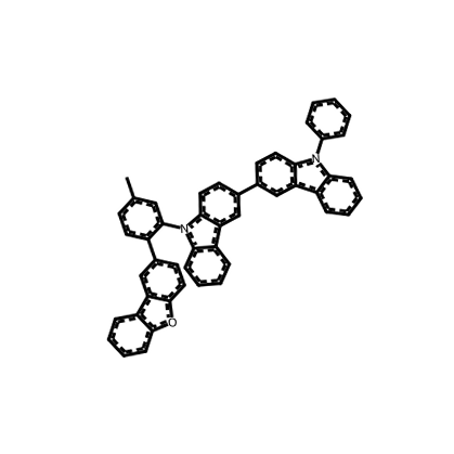 Cc1ccc(-c2ccc3oc4ccccc4c3c2)c(-n2c3ccccc3c3cc(-c4ccc5c(c4)c4ccccc4n5-c4ccccc4)ccc32)c1